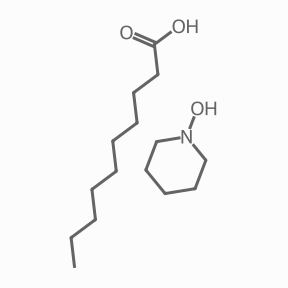 CCCCCCCCCC(=O)O.ON1CCCCC1